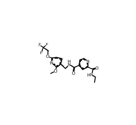 CCNC(=O)c1cc(C(=O)NCc2ccc(OCC(F)(F)F)nc2OC)ccn1